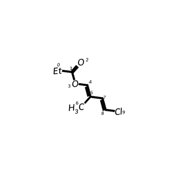 CCC(=O)O/C=C(C)/C=C/Cl